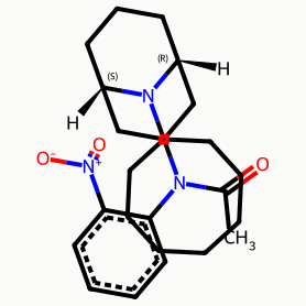 CC(=O)N(c1ccccc1[N+](=O)[O-])C1C[C@H]2CCC[C@@H](C1)N2C1CCCCCCC1